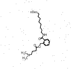 CCCCCCCCCCCCCCCCCCNC(=O)c1ccccc1COC(=O)CCCN(C)C